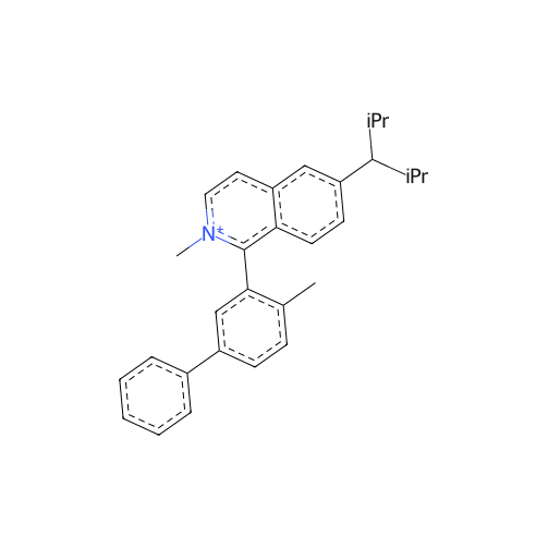 Cc1ccc(-c2ccccc2)cc1-c1c2ccc(C(C(C)C)C(C)C)cc2cc[n+]1C